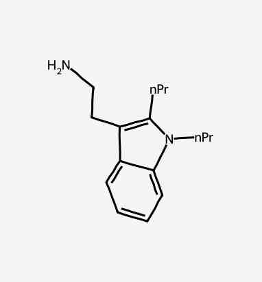 CCCc1c(CCN)c2ccccc2n1CCC